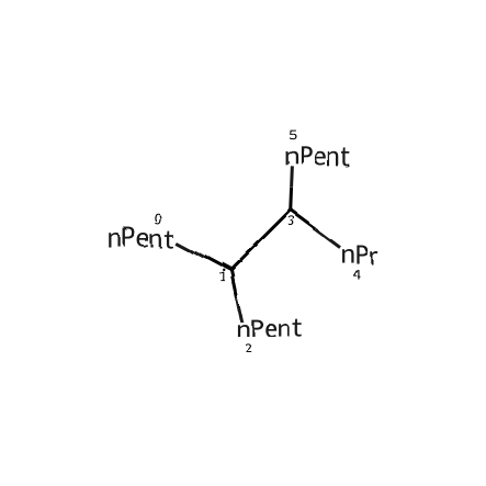 CCCCC[C](CCCCC)C(CCC)CCCCC